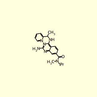 CC(Nc1nc(N)nc2cc(C(=O)N(C)C(C)C)ccc12)c1ccccn1